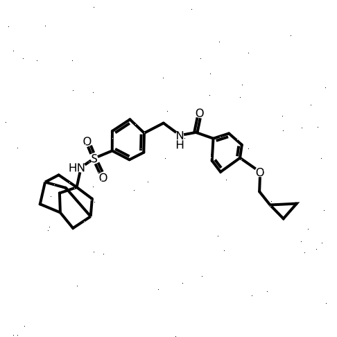 O=C(NCc1ccc(S(=O)(=O)NC23CC4CC(CC(C4)C2)C3)cc1)c1ccc(OCC2CC2)cc1